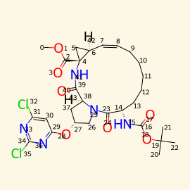 COC(=O)[C@@]12C[C@H]1/C=C\CCCCC[C@H](NC(=O)OC(C)(C)C)C(=O)N1C[C@H](Oc3cc(Cl)nc(Cl)n3)C[C@H]1C(=O)N2